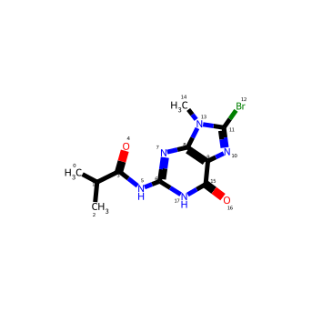 CC(C)C(=O)Nc1nc2c(nc(Br)n2C)c(=O)[nH]1